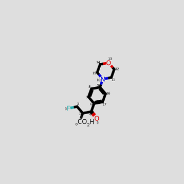 O=C(O)C(CF)C(=O)c1ccc(N2CCOCC2)cc1